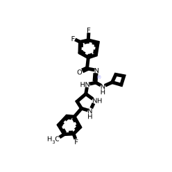 Cc1ccc(C2CC(N/C(=N\C(=O)c3ccc(F)c(F)c3)NC3CCC3)NN2)cc1F